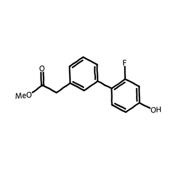 COC(=O)Cc1cccc(-c2ccc(O)cc2F)c1